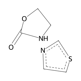 O=C1NCCO1.c1cscn1